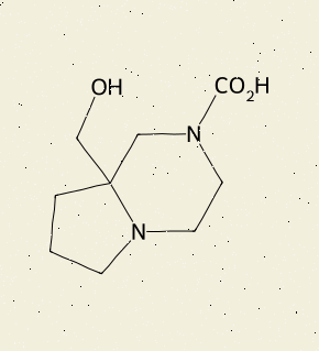 O=C(O)N1CCN2CCCC2(CO)C1